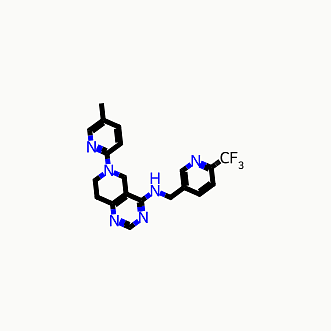 Cc1ccc(N2CCc3ncnc(NCc4ccc(C(F)(F)F)nc4)c3C2)nc1